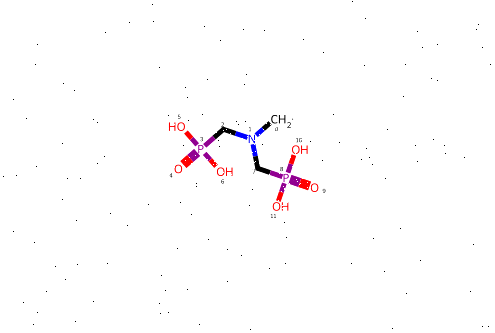 [CH2]N(CP(=O)(O)O)CP(=O)(O)O